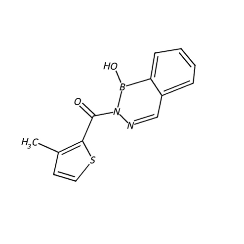 Cc1ccsc1C(=O)N1N=Cc2ccccc2B1O